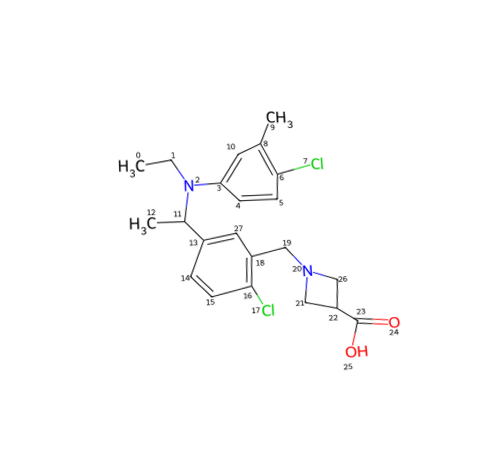 CCN(c1ccc(Cl)c(C)c1)C(C)c1ccc(Cl)c(CN2CC(C(=O)O)C2)c1